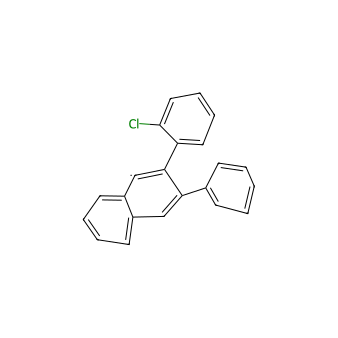 Clc1ccccc1-c1[c]c2ccccc2cc1-c1ccccc1